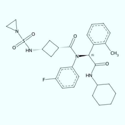 Cc1ccccc1[C@@H](C(=O)NC1CCCCC1)N(c1cccc(F)c1)C(=O)[C@H]1C[C@@H](NS(=O)(=O)N2CC2)C1